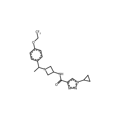 CC(c1ccc(OCC(F)(F)F)cc1)N1CC(NC(=O)c2cn(C3CC3)nn2)C1